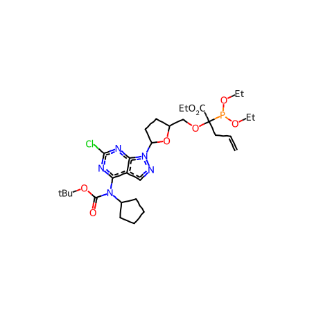 C=CCC(OCC1CCC(n2ncc3c(N(C(=O)OC(C)(C)C)C4CCCC4)nc(Cl)nc32)O1)(C(=O)OCC)P(OCC)OCC